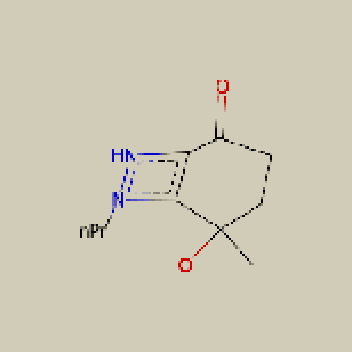 CCCn1[nH]c2c1C1(CCC2=O)CO1